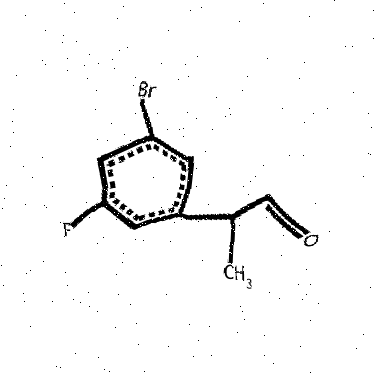 CC(C=O)c1cc(F)cc(Br)c1